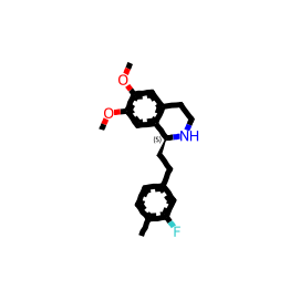 COc1cc2c(cc1OC)[C@H](CCc1ccc(C)c(F)c1)NCC2